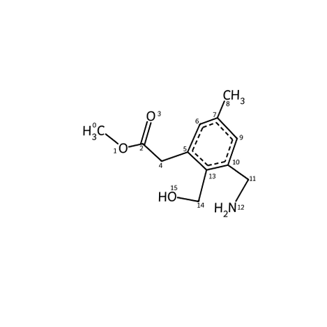 COC(=O)Cc1cc(C)cc(CN)c1CO